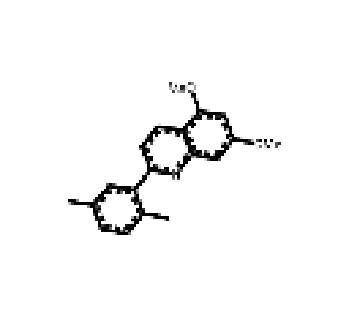 COc1cc(OC)c2ccc(-c3cc(C)ccc3C)nc2c1